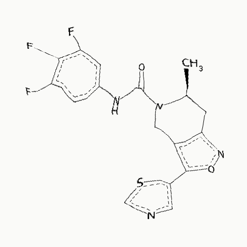 C[C@H]1Cc2noc(-c3cncs3)c2CN1C(=O)Nc1cc(F)c(F)c(F)c1